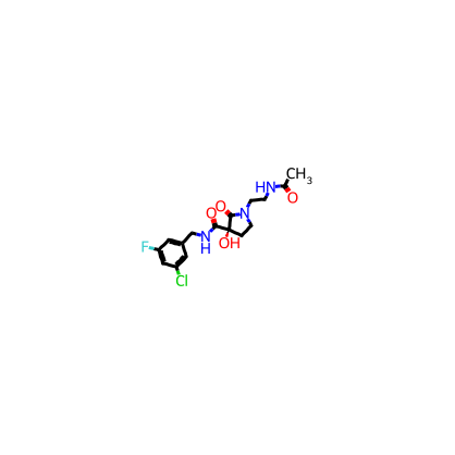 CC(=O)NCCN1CC[C@](O)(C(=O)NCc2cc(F)cc(Cl)c2)C1=O